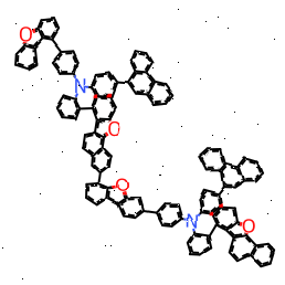 c1ccc(N(c2ccc(-c3ccc4c(c3)oc3c(-c5ccc6c(ccc7c6oc6cccc(-c8ccccc8N(c8ccc(-c9cc%10ccccc%10c%10ccccc9%10)cc8)c8ccc(-c9cccc%10oc%11ccccc%11c9%10)cc8)c67)c5)cccc34)cc2)c2ccc(-c3cc4ccccc4c4ccccc34)cc2)c(-c2cccc3oc4c5ccccc5ccc4c23)c1